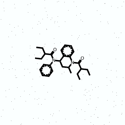 CCC(CC)C(=O)N1c2ccccc2C(N(C(=O)C(CC)CC)c2ccccc2)CC1C